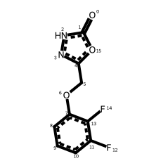 O=c1[nH]nc(COc2cccc(F)c2F)o1